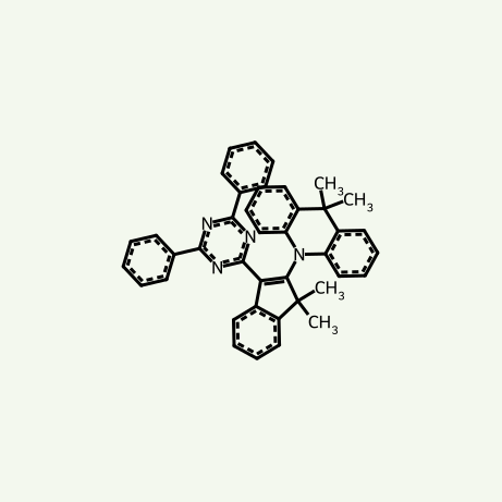 CC1(C)C(N2c3ccccc3C(C)(C)c3ccccc32)=C(c2nc(-c3ccccc3)nc(-c3ccccc3)n2)c2ccccc21